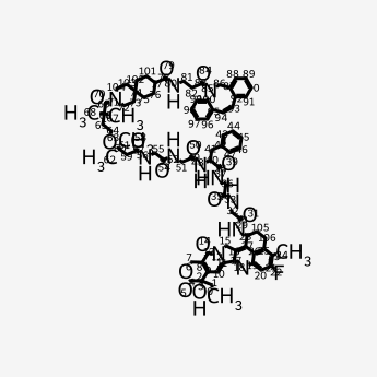 CCC1(O)C(=O)OCc2c1cc1n(c2=O)Cc2c-1nc1cc(F)c(C)c3c1c2C(NC(=O)CNC(=O)CNC(=O)C(Cc1ccccc1)NC(=O)CNC(=O)CNC(=O)CC(C)(C)OCCC(C)(C)C(=O)N1CCC2(CCC(C(=O)NCCC(=O)N4Cc5ccccc5/C=C\c5ccccc54)CC2)CC1)CC3